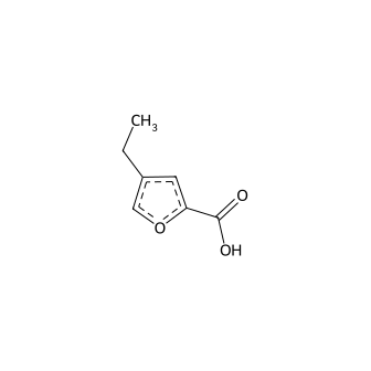 CCc1coc(C(=O)O)c1